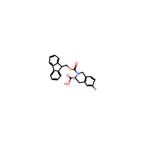 O=C(O)[C@@H]1Cc2cc(F)ccc2CN1C(=O)OCC1c2ccccc2-c2ccccc21